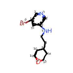 Brc1cncc(NCCC2CCOCC2)c1